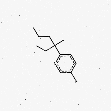 CCCC(C)(CC)c1ccc(F)cn1